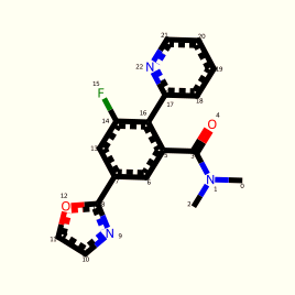 CN(C)C(=O)c1cc(-c2ncco2)cc(F)c1-c1ccccn1